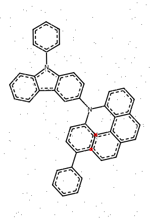 c1ccc(-c2ccc(N(c3ccc4c(c3)c3ccccc3n4-c3ccccc3)c3cccc4ccc5cccnc5c34)cc2)cc1